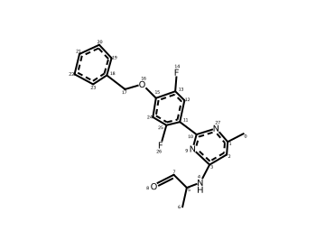 Cc1cc(NC(C)C=O)nc(-c2cc(F)c(OCc3ccccc3)cc2F)n1